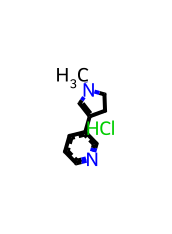 CN1C=C(c2cccnc2)CC1.Cl